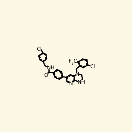 O=C(NCc1ccc(Cl)cc1)c1ccc(-c2cnc3c(c2)N(Cc2cc(Cl)ccc2C(F)(F)F)CCN3)cc1